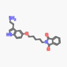 NCCc1c[nH]c2ccc(OCCCCCN3C(=O)c4ccccc4C3=O)cc12